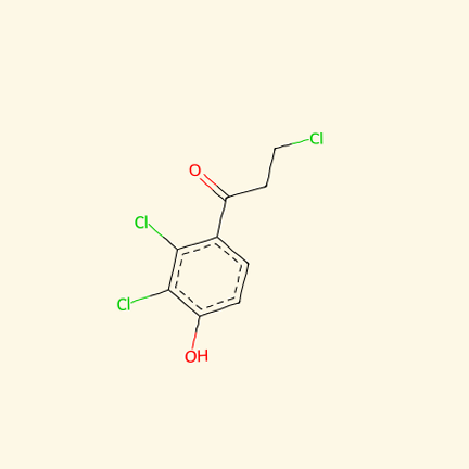 O=C(CCCl)c1ccc(O)c(Cl)c1Cl